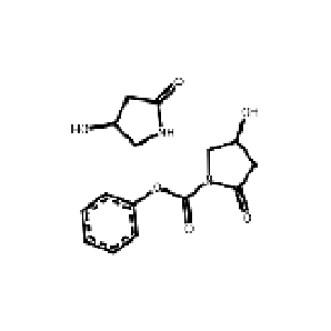 O=C1CC(O)CN1.O=C1CC(O)CN1C(=O)Oc1ccccc1